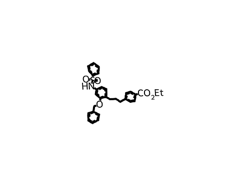 CCOC(=O)c1ccc(CCCc2ccc(NS(=O)(=O)c3ccccc3)cc2OCc2ccccc2)cc1